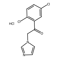 Cl.O=C(Cn1ccnc1)c1cc(Cl)ccc1Cl